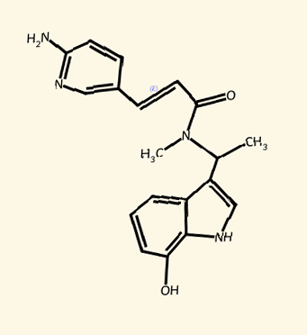 CC(c1c[nH]c2c(O)cccc12)N(C)C(=O)/C=C/c1ccc(N)nc1